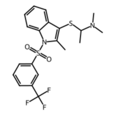 Cc1c(SC(C)N(C)C)c2ccccc2n1S(=O)(=O)c1cccc(C(F)(F)F)c1